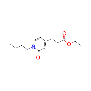 CCCCn1ccc(CCC(=O)OCC)cc1=O